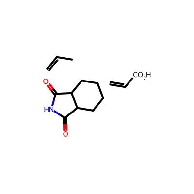 C=CC.C=CC(=O)O.O=C1NC(=O)C2CCCCC12